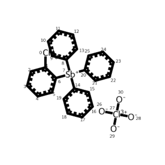 Cc1cccc[c]1[Sb+]([c]1ccccc1)([c]1ccccc1)[c]1ccccc1.[O-][Cl+3]([O-])([O-])[O-]